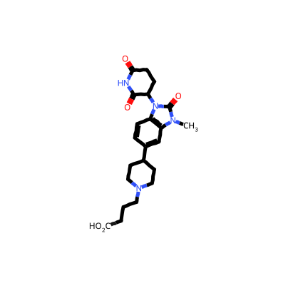 Cn1c(=O)n(C2CCC(=O)NC2=O)c2ccc(C3CCN(CCCC(=O)O)CC3)cc21